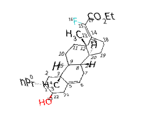 CCC[C@@H]1C[C@@]2(C)C(=CC[C@@H]3[C@@H]2CC[C@]2(C)C(=C(F)C(=O)OCC)CC[C@@H]32)C[C@H]1O